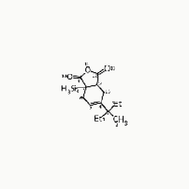 CCC(C)(CC)C1=CCC2([SiH3])C(=O)OC(=O)C2C1